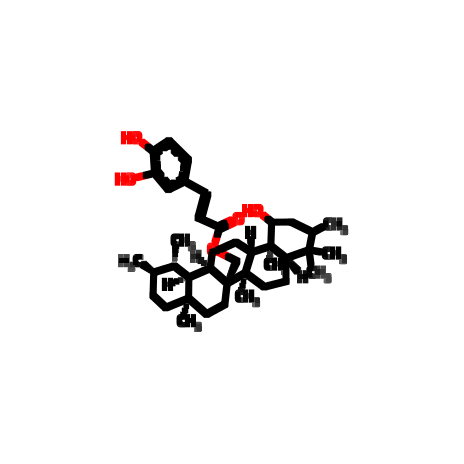 CC1CC(O)[C@]2(C)[C@H]3CC[C@@H]4[C@@H]5[C@@H](C)[C@H](C)CC[C@]5(C)CC[C@@]4(COC(=O)C=Cc4ccc(O)c(O)c4)[C@]3(C)CC[C@H]2C1(C)C